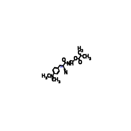 C=C(C)C(=O)OCCNC(=O)/C(C#N)=C/c1ccc(N(C)C)cc1